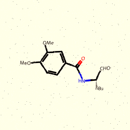 CCCC[C@@H]([C]=O)NC(=O)c1ccc(OC)c(OC)c1